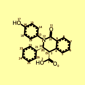 O=C(O)[C@H]1c2ccccc2C(=O)N(c2ccc(O)cc2)[C@H]1c1ccccc1